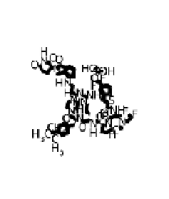 CC(C)(C)c1ccc(C[C@H](NC(=O)[C@H](CCCNC(=N)N)NC(=O)[C@@H]2CC[C@@H]3CCN(CC(F)F)C[C@H](NC(=O)c4cc5cc(C(F)(F)OP(O)O)ccc5s4)C(=O)N32)C(=O)N2CCN(CCCNc3cccc4c3CN(C3CCC(=O)NC3=O)C4=O)CC2)cc1